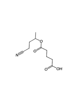 CC(CCC#N)OC(=O)CCCC(=O)O